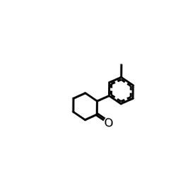 Cc1cccc(C2CCCCC2=O)c1